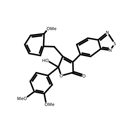 COc1ccccc1CC1=C(c2ccc3nsnc3c2)C(=O)OC1(O)c1ccc(OC)c(OC)c1